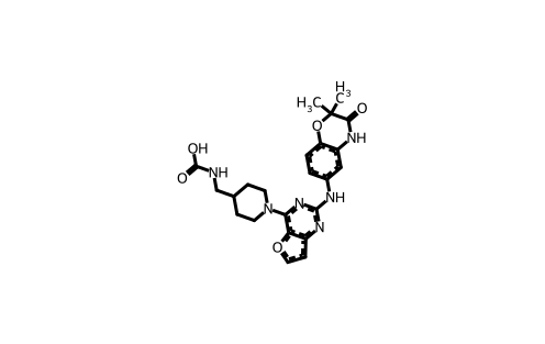 CC1(C)Oc2ccc(Nc3nc(N4CCC(CNC(=O)O)CC4)c4occc4n3)cc2NC1=O